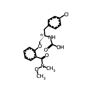 CON(C)C(=O)c1ccccc1OC[C@H](Cc1ccc(Cl)cc1)NC(=O)O